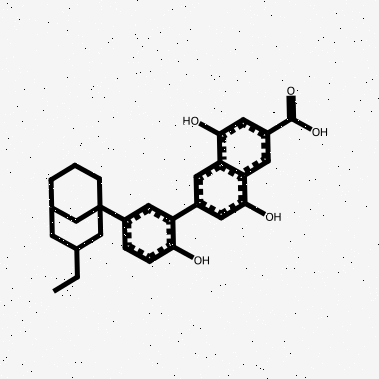 CCC1CC2CCCC(c3ccc(O)c(-c4cc(O)c5cc(C(=O)O)cc(O)c5c4)c3)(C1)C2